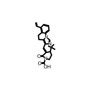 C=Cc1cccc2c1CCc1c(C=C3C(=O)N(C(=O)O)CCC3C(C)(C)C)ncn1-2